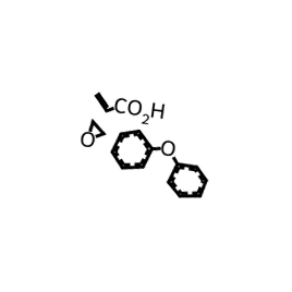 C1CO1.C=CC(=O)O.c1ccc(Oc2ccccc2)cc1